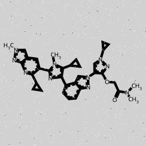 CN(C)C(=O)COc1nn(C2CC2)cc1-n1cc2c(-c3nc(-c4cc5cn(C)nc5nc4C4CC4)n(C)c3C3CC3)cccc2n1